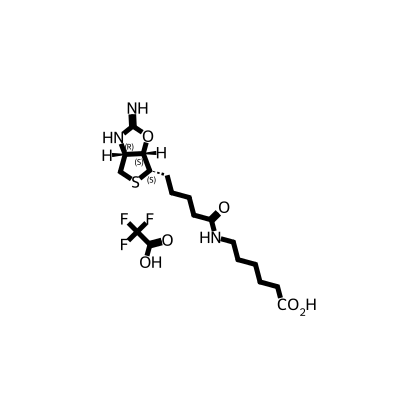 N=C1N[C@H]2CS[C@@H](CCCCC(=O)NCCCCCC(=O)O)[C@H]2O1.O=C(O)C(F)(F)F